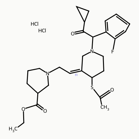 CCOC(=O)C1CCCN(C/C=C2\CN(C(C(=O)C3CC3)c3ccccc3F)CCC2SC(C)=O)C1.Cl.Cl